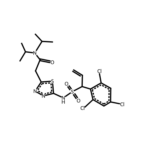 C=CC(c1c(Cl)cc(Cl)cc1Cl)S(=O)(=O)Nc1nnc(CC(=O)N(C(C)C)C(C)C)s1